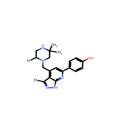 CCc1n[nH]c2nc(-c3ccc(O)cc3)cc(CN3CC(C)(C)NCC3CC)c12